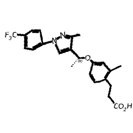 Cc1cc(O[C@H](C)c2cn(-c3ccc(C(F)(F)F)cc3)nc2C)ccc1CCC(=O)O